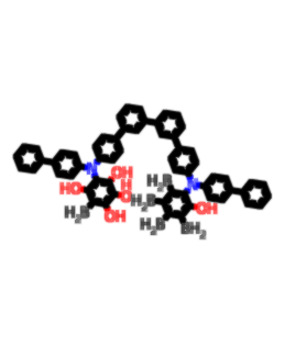 Bc1c(B)c(B)c(N(c2ccc(-c3ccccc3)cc2)c2ccc(-c3cccc(-c4cccc(-c5ccc(N(c6ccc(-c7ccccc7)cc6)c6c(O)c(B)c(O)c(O)c6O)cc5)c4)c3)cc2)c(O)c1B